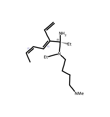 C=C/C(=C\C=C/C)[C@](N)(CC)N(CC)CCCCNC